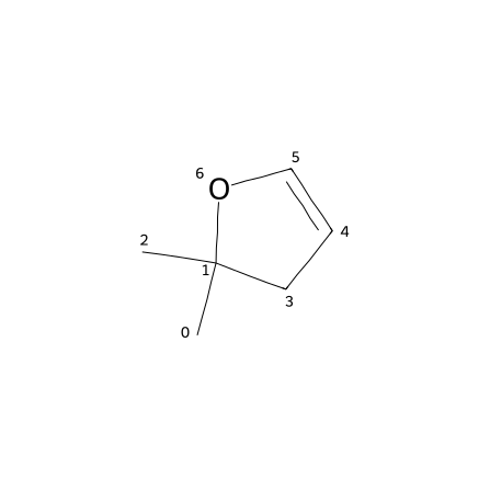 CC1(C)CC=CO1